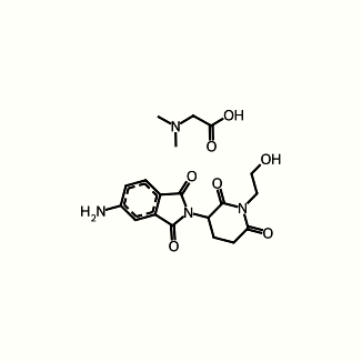 CN(C)CC(=O)O.Nc1ccc2c(c1)C(=O)N(C1CCC(=O)N(CCO)C1=O)C2=O